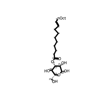 CCCCCCCCC=CCCCCCCCC(=O)O[C@@H]1[C@@H](O)[C@@H](O)O[C@H](CO)[C@H]1O